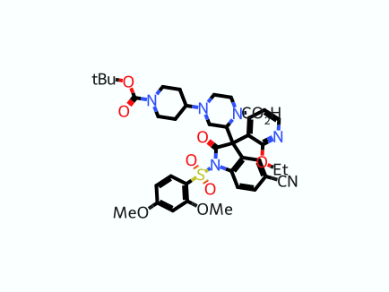 CCOc1ncccc1C1(C2CN(C3CCN(C(=O)OC(C)(C)C)CC3)CCN2C(=O)O)C(=O)N(S(=O)(=O)c2ccc(OC)cc2OC)c2ccc(C#N)cc21